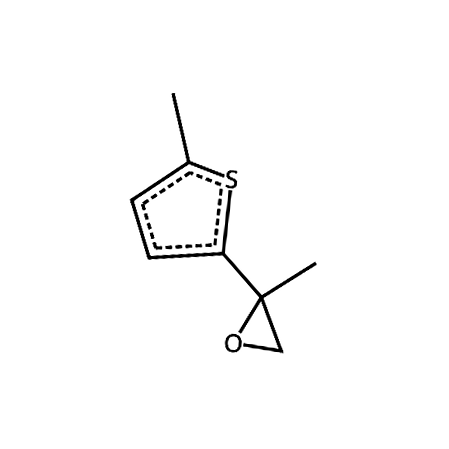 Cc1ccc(C2(C)CO2)s1